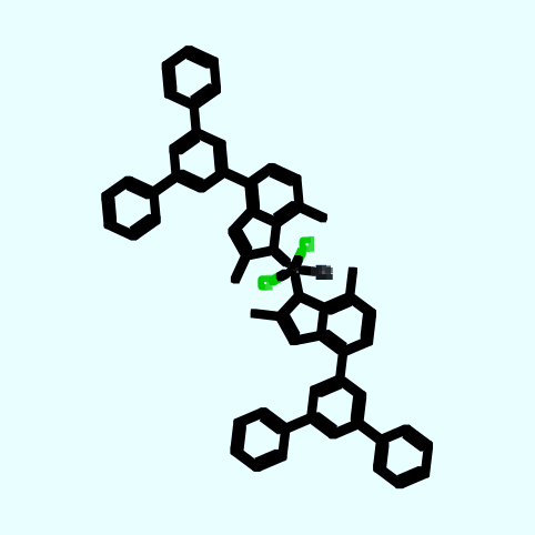 C[CH2][Zr]([Cl])([Cl])([CH]1C(C)=Cc2c(-c3cc(-c4ccccc4)cc(-c4ccccc4)c3)ccc(C)c21)[CH]1C(C)=Cc2c(-c3cc(-c4ccccc4)cc(-c4ccccc4)c3)ccc(C)c21